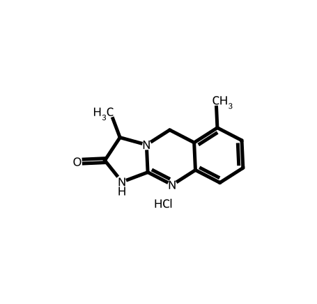 Cc1cccc2c1CN1C(=N2)NC(=O)C1C.Cl